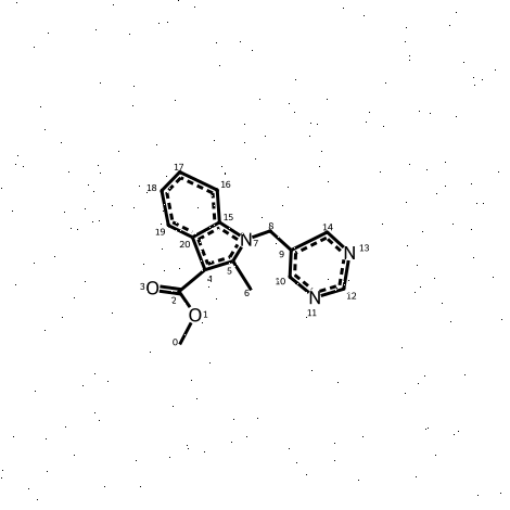 COC(=O)c1c(C)n(Cc2cncnc2)c2ccccc12